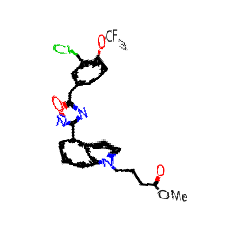 COC(=O)CCCn1ccc2c(-c3noc(-c4ccc(OC(F)(F)F)c(Cl)c4)n3)cccc21